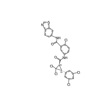 O=C(Nc1ccc2ncsc2c1)c1cc(NC(=O)[C@H]2[C@H](c3cc(Cl)cc(Cl)c3)C2(Cl)Cl)ccc1Cl